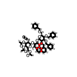 CC(=O)OCC1O[C@@H](OC2[C@H](C)OC(C)[C@H](OCc3ccccc3)[C@@H]2O[C@H]2O[C@@H](COCc3ccccc3)[C@@H](OCc3ccccc3)C(OCc3ccccc3)C2OCc2ccccc2)C(N=C=O)[C@@H](OC(C)=O)[C@@H]1OC(C)=O